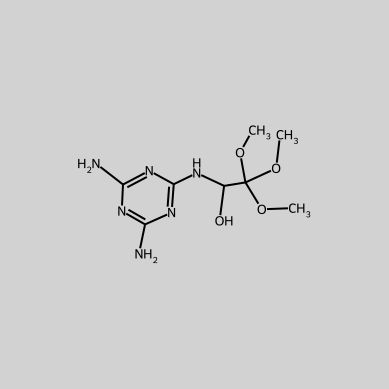 COC(OC)(OC)C(O)Nc1nc(N)nc(N)n1